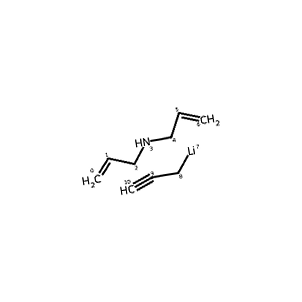 C=CCNCC=C.[Li][CH2]C#C